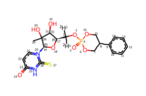 [2H]C([2H])(OP1(=O)OCC(c2ccccc2)CO1)[C@H]1O[C@@H](n2ccc(=O)[nH]c2=S)C(C)(O)[C@H]1O